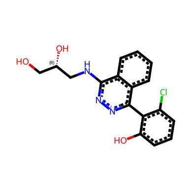 OC[C@H](O)CNc1nnc(-c2c(O)cccc2Cl)c2ccccc12